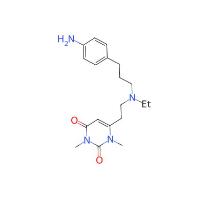 CCN(CCCc1ccc(N)cc1)CCc1cc(=O)n(C)c(=O)n1C